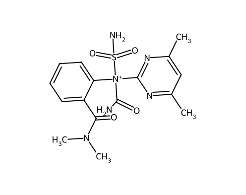 Cc1cc(C)nc([N+](C(N)=O)(c2ccccc2C(=O)N(C)C)S(N)(=O)=O)n1